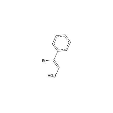 CCC(=CS(=O)(=O)O)c1ccccc1